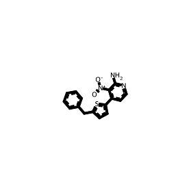 Nc1nccc(-c2ccc(Cc3ccccc3)s2)c1[N+](=O)[O-]